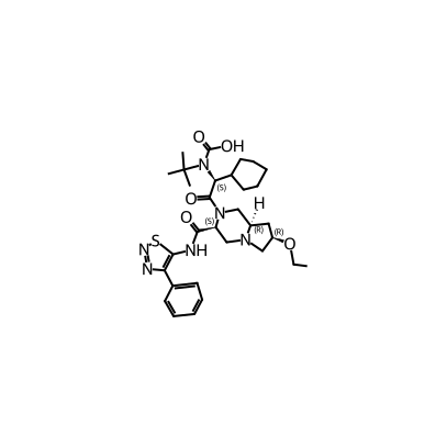 CCO[C@@H]1C[C@@H]2CN(C(=O)[C@H](C3CCCCC3)N(C(=O)O)C(C)(C)C)[C@H](C(=O)Nc3snnc3-c3ccccc3)CN2C1